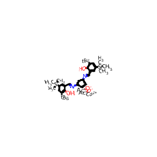 CC(=O)[O-].CC(=O)[O-].CC(C)(C)c1cc([Si](C)(C)C)cc(C=NC2CCC(N=Cc3cc([Si](C)(C)C)cc(C(C)(C)C)c3O)C2)c1O.[Co+2]